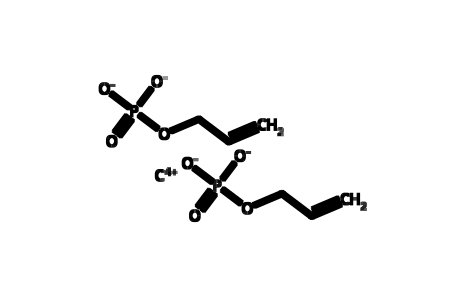 C=CCOP(=O)([O-])[O-].C=CCOP(=O)([O-])[O-].[C+4]